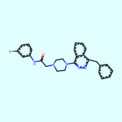 O=C(CN1CCN(c2nnc(Cc3ccccc3)c3ccccc23)CC1)Nc1cccc(Br)c1